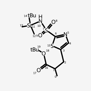 CC(Cc1cnc(S(=O)(=O)N[Si](C)(C)C(C)(C)C)s1)C(=O)OC(C)(C)C